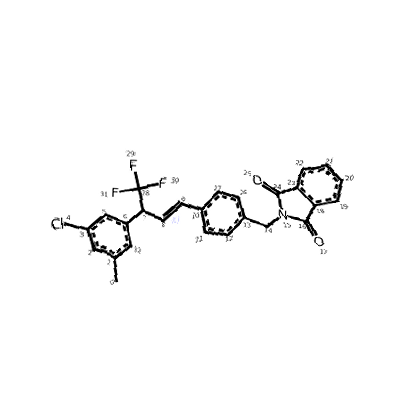 Cc1cc(Cl)cc(C(/C=C/c2ccc(CN3C(=O)c4ccccc4C3=O)cc2)C(F)(F)F)c1